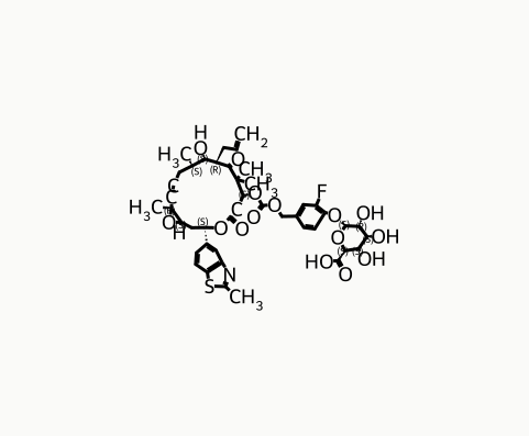 C=CC[C@H]1C(=O)C(C)(C)[C@@H](OC(=O)OCc2ccc(O[C@@H]3O[C@H](C(=O)O)[C@@H](O)[C@H](O)[C@H]3O)c(F)c2)CC(=O)O[C@H](c2ccc3sc(C)nc3c2)C[C@@H]2O[C@]2(C)CCC[C@H](C)[C@@H]1O